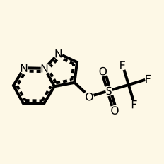 O=S(=O)(Oc1cnn2ncccc12)C(F)(F)F